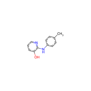 Cc1ccc(Nc2ncccc2O)cc1